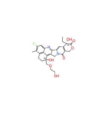 CC[C@@]1(O)C(=O)OCc2c1cc1n(c2=O)Cc2c-1nc1cc(F)c(C)c3c1c2[C@](O)(COCCO)CC3